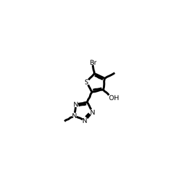 Cc1c(Br)sc(-c2nnn(C)n2)c1O